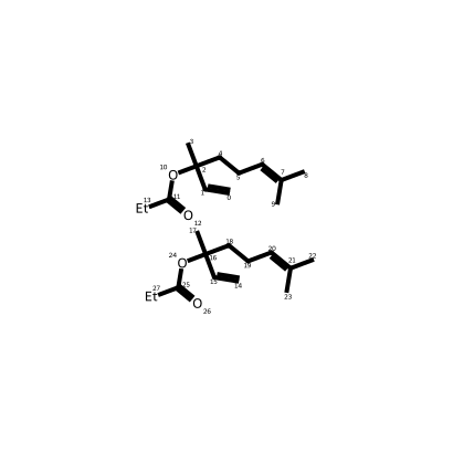 C=CC(C)(CCC=C(C)C)OC(=O)CC.C=CC(C)(CCC=C(C)C)OC(=O)CC